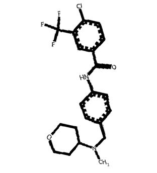 CN(Cc1ccc(NC(=O)c2ccc(Cl)c(C(F)(F)F)c2)cc1)C1CCOCC1